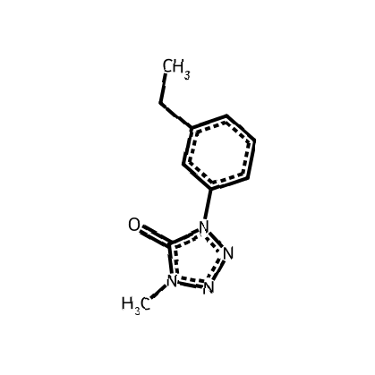 CCc1cccc(-n2nnn(C)c2=O)c1